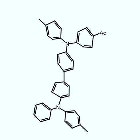 CC(=O)c1ccc(N(c2ccc(C)cc2)c2ccc(-c3ccc(N(c4ccccc4)c4ccc(C)cc4)cc3)cc2)cc1